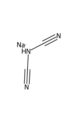 N#CNC#N.[Na]